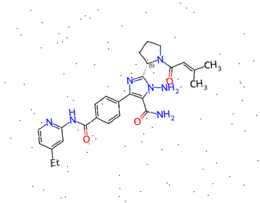 CCc1ccnc(NC(=O)c2ccc(-c3nc([C@@H]4CCCN4C(=O)C=C(C)C)n(N)c3C(N)=O)cc2)c1